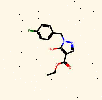 CCOC(=O)c1cnn(Cc2ccc(F)cc2)c1O